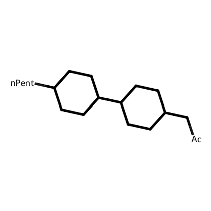 CCCCCC1CCC(C2CCC(CC(C)=O)CC2)CC1